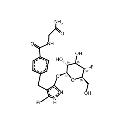 CC(C)c1[nH]nc(O[C@@H]2O[C@H](CO)[C@@H](F)[C@H](O)[C@H]2O)c1Cc1ccc(C(=O)NCC(N)=O)cc1